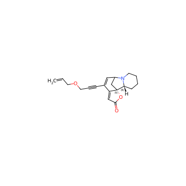 C=CCOCC#CC1=CC2C[C@@]3(OC(=O)C=C13)[C@H]1CCCCN21